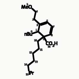 CCCCC1C(CCOC)=CC=CC1(CCCCCC(C)C)C(=O)O